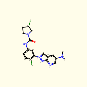 CN(C)c1cnc2nn(-c3cc(NC(=O)N4CC[C@@H](F)C4)ccc3F)cc2c1